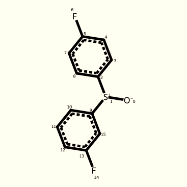 [O-][S+](c1ccc(F)cc1)c1cccc(F)c1